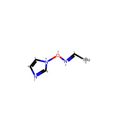 CC(C)(C)C=NOn1ccnc1